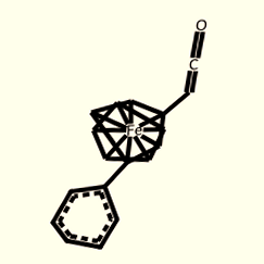 O=C=C[C]12[CH]3[CH]4[C]5(c6ccccc6)[CH]1[Fe]34251678[CH]2[CH]1[CH]6[CH]7[CH]28